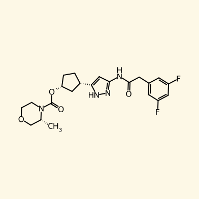 C[C@@H]1COCCN1C(=O)O[C@@H]1CC[C@H](c2cc(NC(=O)Cc3cc(F)cc(F)c3)n[nH]2)C1